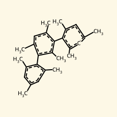 Cc1cc(C)c(-c2c(C)cc(C)c(-c3c(C)cc(C)cc3C)c2C)c(C)c1